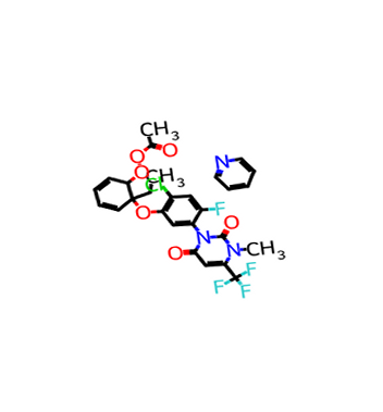 CCC1(Oc2cc(-n3c(=O)cc(C(F)(F)F)n(C)c3=O)c(F)cc2Cl)C=CC=CC1OOC(C)=O.c1ccncc1